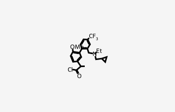 CCN(Cc1cc(C(F)(F)F)ccc1-c1cc(C(C)C(=O)Cl)ccc1OC)CC1CC1